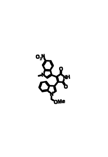 COCn1cc(C2=C(c3cn(C)c4cc([N+](=O)[O-])ccc34)C(=O)NC2=O)c2ccccc21